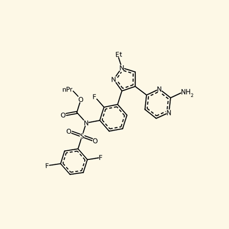 CCCOC(=O)N(c1cccc(-c2nn(CC)cc2-c2ccnc(N)n2)c1F)S(=O)(=O)c1cc(F)ccc1F